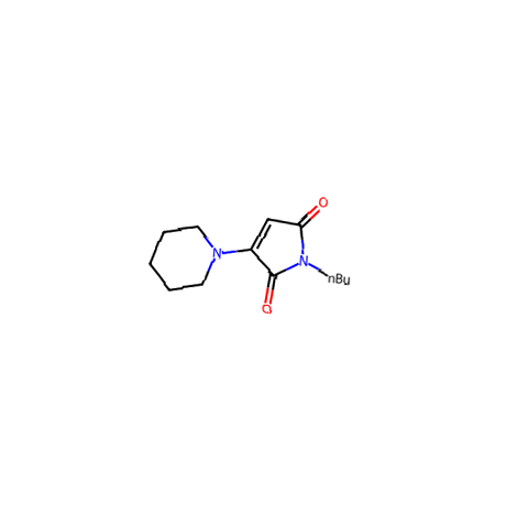 CCCCN1C(=O)C=C(N2CCCCC2)C1=O